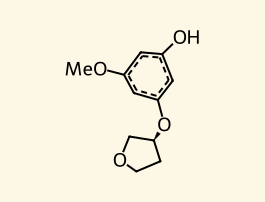 COc1cc(O)cc(O[C@H]2CCOC2)c1